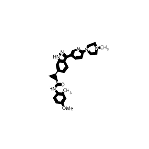 COc1ccc(NC(=O)[C@@H]2C[C@H]2c2ccc3c(-c4ccc(N5CCN(C)CC5)nc4)n[nH]c3c2)c(C)c1